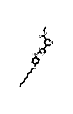 CCCCCCCCOc1ccc(Nc2nc(-c3cncc(C(=O)OCC)c3)cs2)cc1